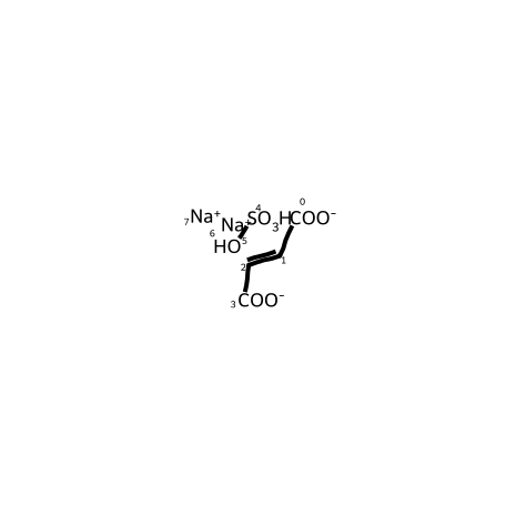 O=C([O-])C=CC(=O)[O-].O=S(=O)(O)O.[Na+].[Na+]